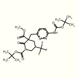 COC(=O)C1(Cc2ccc(NC(=O)OC(C)(C)C)nn2)CC(C(F)(F)F)CN(C(=O)OC(C)(C)C)C1=O